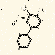 CCCCCC.Cc1ccc(-c2ccccc2)cc1C